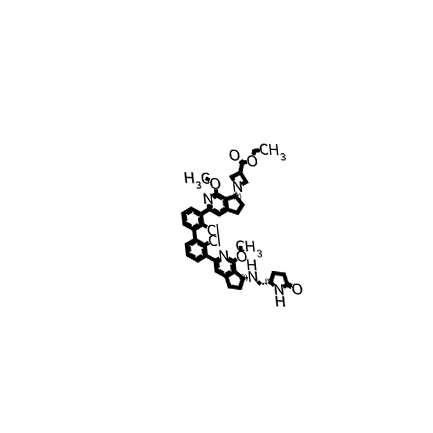 CCOC(=O)C1CN([C@@H]2CCc3cc(-c4cccc(-c5cccc(-c6cc7c(c(OC)n6)[C@H](NC[C@@H]6CCC(=O)N6)CC7)c5Cl)c4Cl)nc(OC)c32)C1